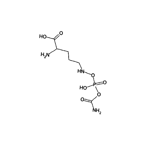 NC(=O)OP(=O)(O)ONCCCC(N)C(=O)O